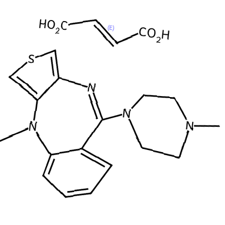 CN1CCN(C2=Nc3cscc3N(C)c3ccccc32)CC1.O=C(O)/C=C/C(=O)O